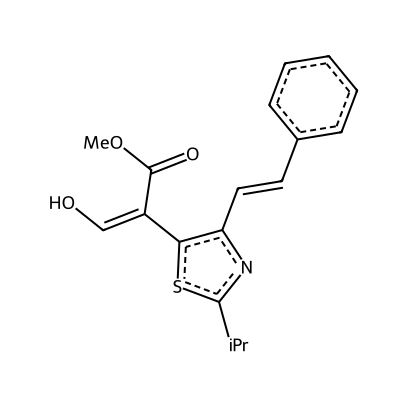 COC(=O)C(=CO)c1sc(C(C)C)nc1/C=C/c1ccccc1